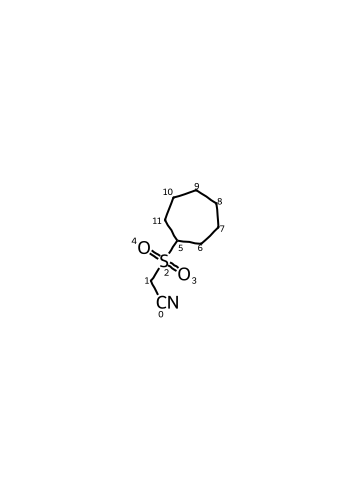 N#CCS(=O)(=O)C1CCCCCC1